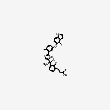 CC(C)(c1cnc(-c2cc(Oc3ccc4[nH]ccc4c3F)ccc2F)[nH]1)c1cccc(CCC(=O)O)c1F